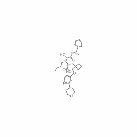 CCCC[C@@H](C(O)C(=O)N[C@H](C)c1ccccc1)N(CC1(COc2ccnc(N3CCOCC3)n2)CCC1)C(=O)O